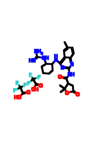 Cc1ccc2nc(NC(=O)C3CC(=O)OC3(C)C)nc(NC3CCCCC3NC(=N)N)c2c1.O=C(O)C(F)(F)F.O=C(O)C(F)(F)F